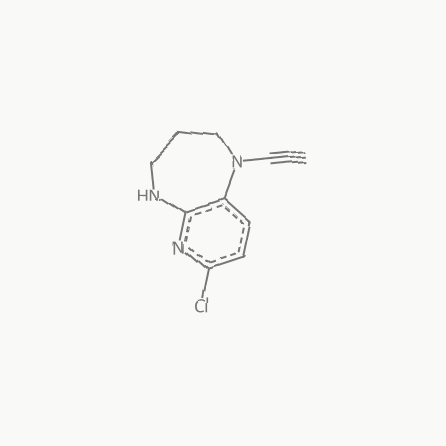 C#CN1CCCNc2nc(Cl)ccc21